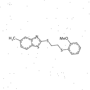 COc1ccccc1SCCSc1nc2cc(C)ccc2s1